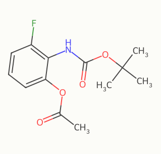 CC(=O)Oc1cccc(F)c1NC(=O)OC(C)(C)C